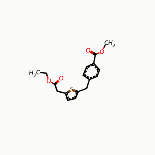 CCOC(=O)Cc1ccc(Cc2ccc(C(=O)OC)cc2)s1